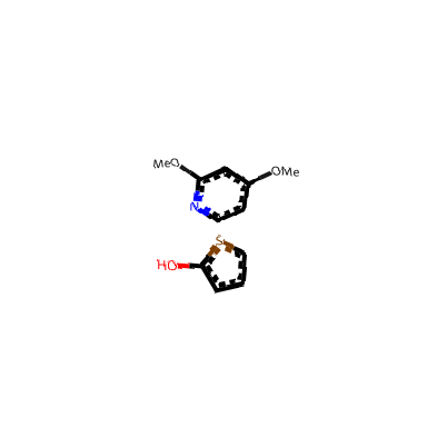 COc1ccnc(OC)c1.Oc1cccs1